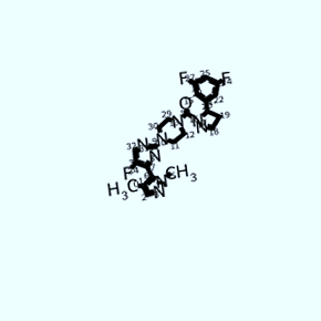 Cc1cnn(C)c1-c1nc(N2CCN(C(=O)N3N=CCC3c3cc(F)cc(F)c3)CC2)ncc1F